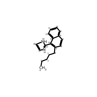 CCCCCc1ccc2ccccc2c1-c1ncc[nH]1